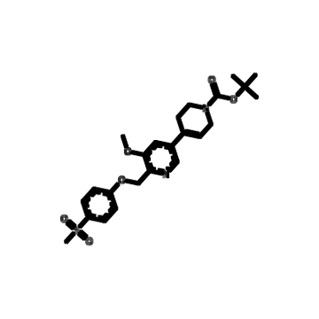 COc1cc(C2=CCN(C(=O)OC(C)(C)C)CC2)cnc1COc1ccc(S(C)(=O)=O)cc1